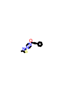 Cc1csc(N2CCN(C(=O)C#Cc3ccccc3)CC2)n1